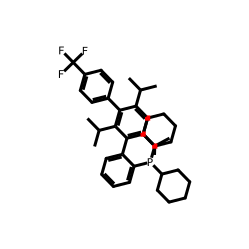 CC(C)c1cc(C(C)C)c(-c2ccccc2P(C2CCCCC2)C2CCCCC2)c(C(C)C)c1-c1ccc(C(F)(F)F)cc1